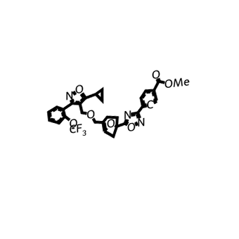 COC(=O)c1ccc(-c2noc(C34CCC(COCc5c(-c6ccccc6OC(F)(F)F)noc5C5CC5)=C(C3)O4)n2)cc1